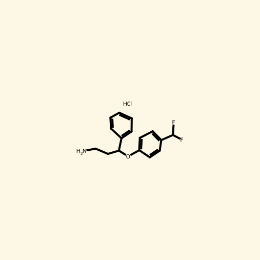 Cl.NCCC(Oc1ccc(C(F)F)cc1)c1ccccc1